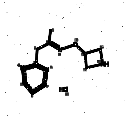 CC(Cc1ncccn1)=NOC1CNC1.Cl